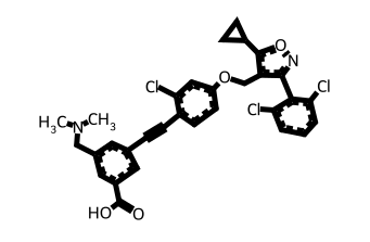 CN(C)Cc1cc(C#Cc2ccc(OCc3c(-c4c(Cl)cccc4Cl)noc3C3CC3)cc2Cl)cc(C(=O)O)c1